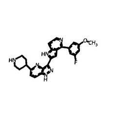 COc1cc(F)cc(-c2nccc3[nH]c(-c4n[nH]c5ccc(C6CCNCC6)nc45)cc23)c1